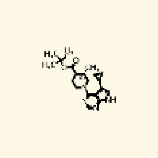 C[C@@H]1CN(c2ncnc3[nH]cc(C4CC4)c23)CCC1C(=O)OC(C)(C)C